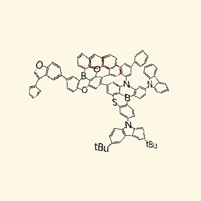 CC(C)(C)c1ccc2c(c1)c1cc(C(C)(C)C)ccc1n2-c1ccc2c(c1)Sc1cc(-c3cc4c5c(c3-c3ccccc3-c3ccccc3)Oc3ccccc3B5c3cc(-c5ccc6occ(-c7ccccc7)c6c5)ccc3O4)cc3c1B2c1ccc(-n2c4ccccc4c4ccccc42)cc1N3c1cc(-c2ccccc2)cc(-c2ccccc2)c1